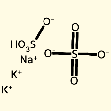 O=S(=O)([O-])O.O=S(=O)([O-])[O-].[K+].[K+].[Na+]